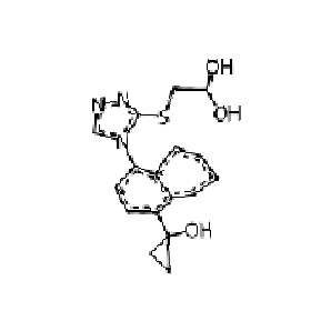 OC(O)CSc1nncn1-c1ccc(C2(O)CC2)c2ccccc12